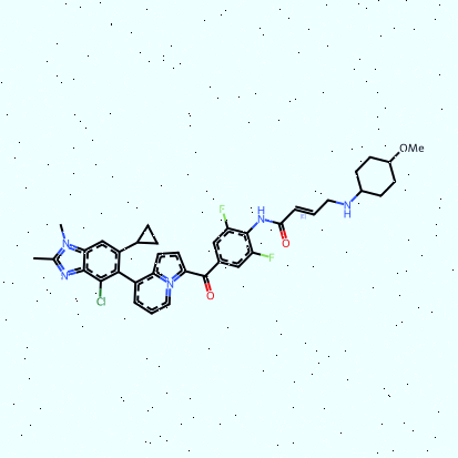 COC1CCC(NC/C=C/C(=O)Nc2c(F)cc(C(=O)c3ccc4c(-c5c(C6CC6)cc6c(nc(C)n6C)c5Cl)cccn34)cc2F)CC1